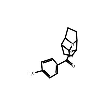 CC(C)CN1C2CCC1C1CCC2N1C(=O)c1ccc(C(F)(F)F)cc1